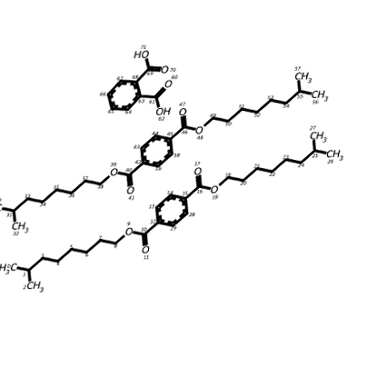 CC(C)CCCCCCOC(=O)c1ccc(C(=O)OCCCCCCC(C)C)cc1.CC(C)CCCCCCOC(=O)c1ccc(C(=O)OCCCCCCC(C)C)cc1.O=C(O)c1ccccc1C(=O)O